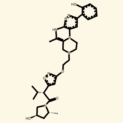 CC1=C2CN(CCOc3cc([C@H](C(=O)N4C[C@H](O)C[C@H]4C)C(C)C)on3)CCN2c2cc(-c3ccccc3O)nnc2N1